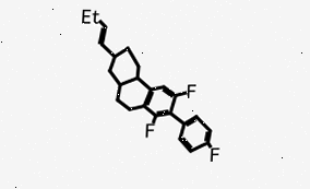 CC/C=C/C1CCC2c3cc(F)c(-c4ccc(F)cc4)c(F)c3CCC2C1